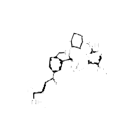 COc1nc(N[C@@H]2CCC[C@H](N3Cc4ccc(C(F)C=CC(N)=O)cc4C3=O)C2)ncc1C#N